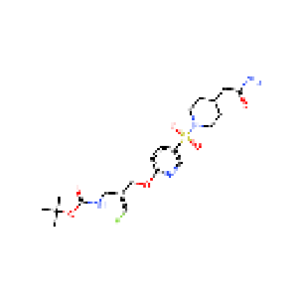 CC(C)(C)OC(=O)NCC(=CF)COc1ccc(S(=O)(=O)N2CCC(CC(N)=O)CC2)cn1